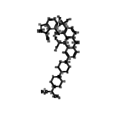 CC(C)N1CCN(C2CCN(c3ccc(Nc4ncc(C(F)(F)F)c(Nc5cccc6c5C(=O)NC6)n4)c(OC(F)F)c3)CC2)CC1